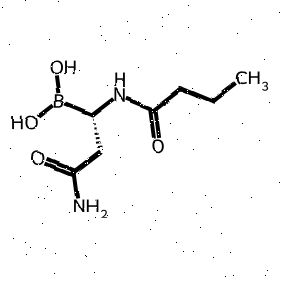 CCCC(=O)N[C@H](CC(N)=O)B(O)O